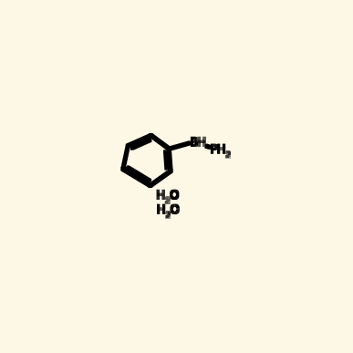 O.O.PBc1ccccc1